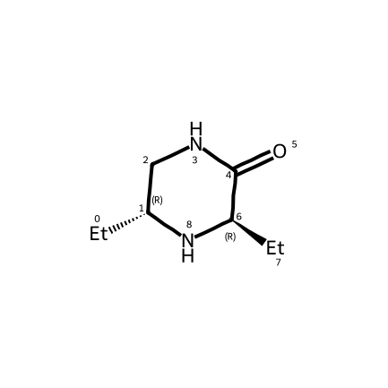 CC[C@@H]1CNC(=O)[C@@H](CC)N1